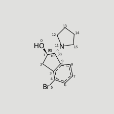 O[C@@H]1Cc2c(Br)cccc2[C@H]1N1CCCC1